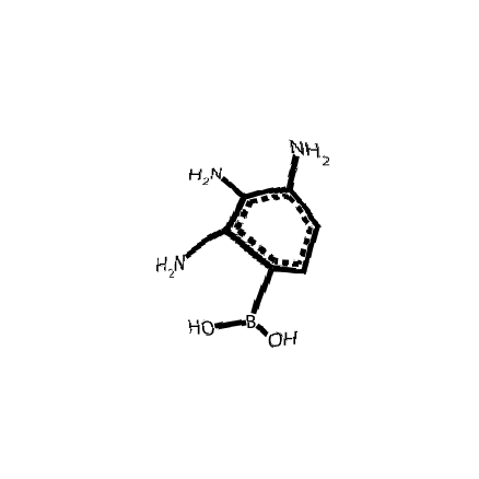 Nc1ccc(B(O)O)c(N)c1N